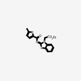 CCOC(=O)Cn1/c(=N\C(=O)c2ccc(C)s2)sc2ccccc21